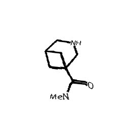 CNC(=O)C12CNCC(C1)C2